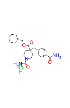 Cl.NC(=O)c1ccc(CC2(C(=O)OCC3CCCCC3)CCN(C(N)=O)CC2)cc1